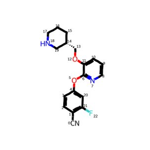 N#Cc1ccc(Oc2ncccc2OC[C@H]2CCCNC2)cc1F